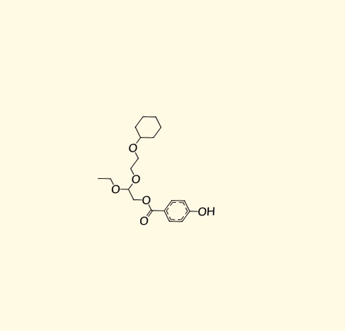 CCOC(COC(=O)c1ccc(O)cc1)OCCOC1CCCCC1